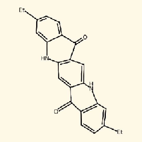 CCc1ccc2c(=O)c3cc4[nH]c5cc(CC)ccc5c(=O)c4cc3[nH]c2c1